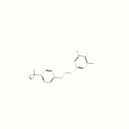 CC(C)(C)c1cc(NCCc2ccc(C3(C(F)(F)F)N=N3)cc2)cc(C(C)(C)C)c1O